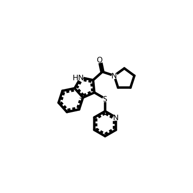 O=C(c1[nH]c2ccccc2c1Sc1ccccn1)N1CCCC1